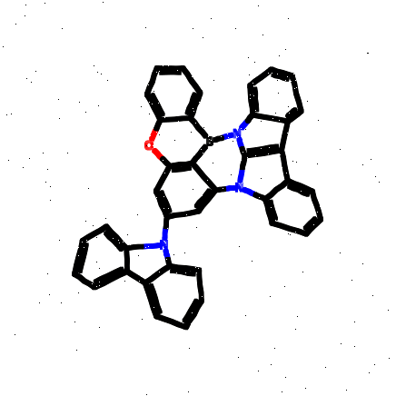 c1ccc2c(c1)Oc1cc(-n3c4ccccc4c4ccccc43)cc3c1B2n1c2ccccc2c2c4ccccc4n-3c21